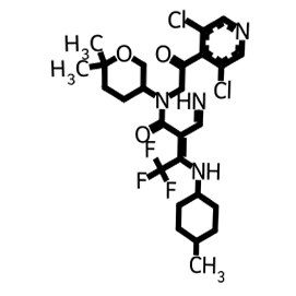 CC1CCC(N/C(=C(\C=N)C(=O)N(CC(=O)c2c(Cl)cncc2Cl)C2CCC(C)(C)OC2)C(F)(F)F)CC1